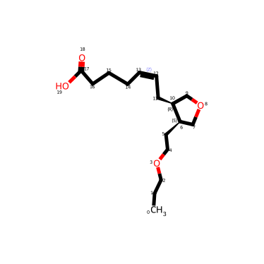 CCCOCC[C@@H]1COC[C@@H]1C/C=C\CCCC(=O)O